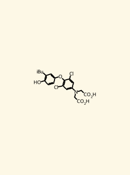 CCC(C)c1cc(Oc2c(Cl)cc(N(CC(=O)O)CC(=O)O)cc2Cl)ccc1O